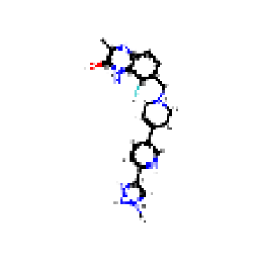 Cc1nc2ccc(CN3CC=C(c4ccc(-c5cn(C)nn5)nc4)CC3)c(F)c2[nH]c1=O